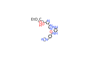 CCOC(=O)C(O)CC(=O)c1cncc(-c2ccnc(Nc3cc(NC(=O)c4ccc(CN5CCN(C)CC5)cc4)ccc3C)n2)c1